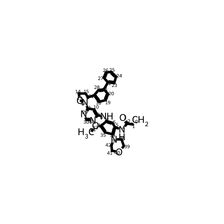 C=CC(=O)Nc1cc(Nc2cc(N3OCCC3c3cccc(-c4ccccc4)c3)ncn2)c(OC)cc1N1CCOCC1